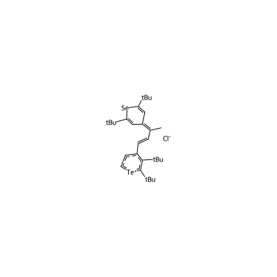 CC(C=Cc1cc[te+]c(C(C)(C)C)c1C(C)(C)C)=C1C=C(C(C)(C)C)[Se]C(C(C)(C)C)=C1.[Cl-]